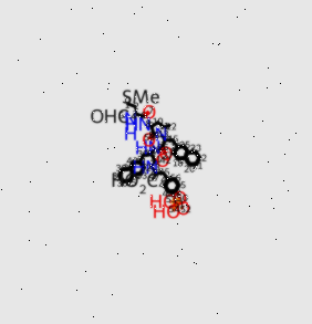 CSCC[C@H](NC=O)C(=O)N[C@H]1CC(C)N(C(Cc2ccc3ccccc3c2)C(=O)NC(Cc2ccc3ccccc3c2)C(=O)NC(Cc2ccc(OP(=O)(O)O)cc2)C(=O)O)C1=O